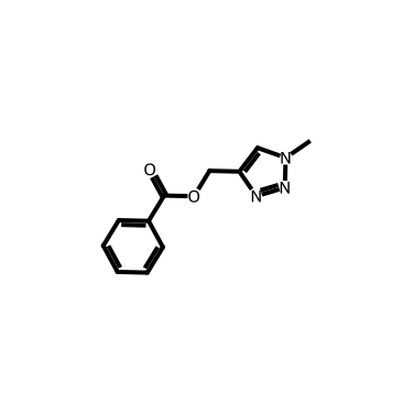 Cn1cc(COC(=O)c2ccccc2)nn1